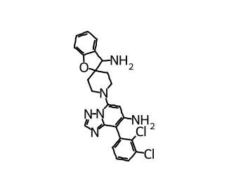 Nc1cc(N2CCC3(CC2)Oc2ccccc2C3N)n2ncnc2c1-c1cccc(Cl)c1Cl